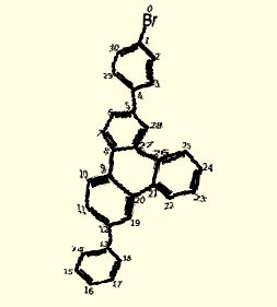 Brc1ccc(-c2ccc3c4ccc(-c5ccccc5)cc4c4ccccc4c3c2)cc1